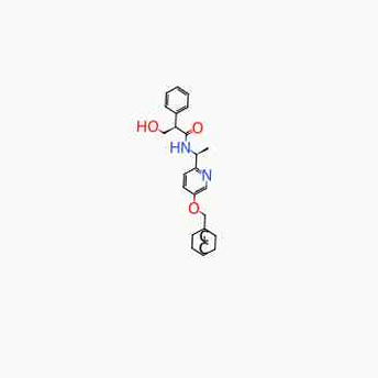 C[C@H](NC(=O)[C@@H](CO)c1ccccc1)c1ccc(OCC23CCC(CC2)CC3)cn1